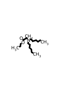 C=C(C(=O)OCCC)N(CCCCCC)CCCCCC